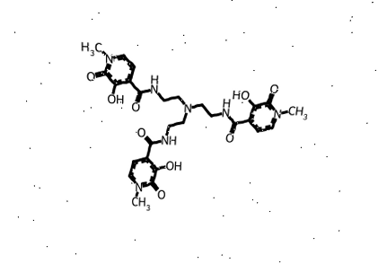 Cn1ccc(C(=O)NCCN(CCNC(=O)c2ccn(C)c(=O)c2O)CCNC(=O)c2ccn(C)c(=O)c2O)c(O)c1=O